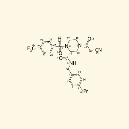 CC(C)c1ccc(CNC(=O)[C@H]2CN(C(=O)CC#N)CCN2S(=O)(=O)c2ccc(C(F)(F)F)cc2)cc1